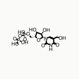 O=c1[nH]c(=O)n([C@@H]2O[C@H](COP(=O)(O)OP(=O)(O)O)[C@@H](O)[C@H]2O)cc1CO